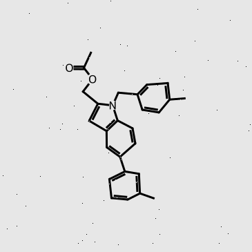 CC(=O)OCc1cc2cc(-c3cccc(C)c3)ccc2n1Cc1ccc(C)cc1